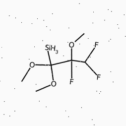 COC([SiH3])(OC)C(F)(OC)C(F)F